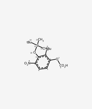 CC(C)(C)c1c(OC(=O)O)ccc([N+](=O)[O-])c1O[Si](C)(C)C(C)(C)C